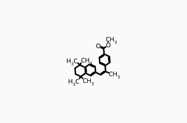 COC(=O)c1ccc(/C(C)=C\c2ccc3c(c2)C(C)(C)CCC3(C)C)cc1